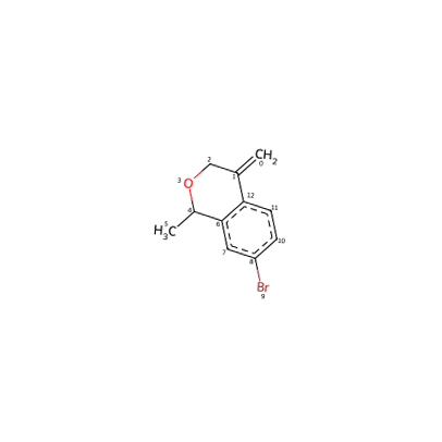 C=C1COC(C)c2cc(Br)ccc21